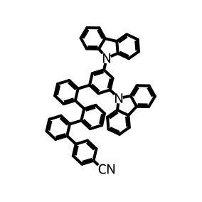 N#Cc1ccc(-c2ccccc2-c2ccccc2-c2ccccc2-c2cc(-n3c4ccccc4c4ccccc43)cc(-n3c4ccccc4c4ccccc43)c2)cc1